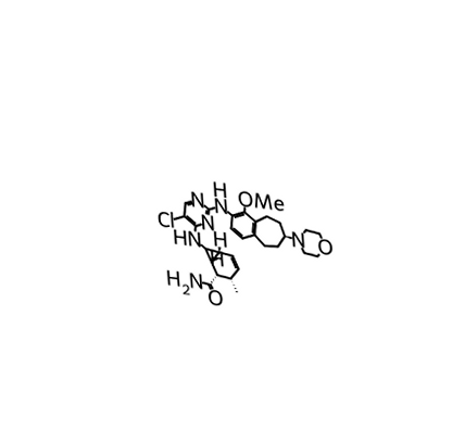 COc1c(Nc2ncc(Cl)c(NC3[C@H]4[C@@H](C(N)=O)[C@@H](C)C=C[C@@H]34)n2)ccc2c1CC[C@@H](N1CCOCC1)CC2